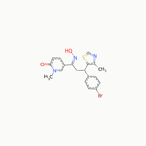 Cc1ncsc1C(CC(=NO)c1ccc(=O)n(C)c1)c1ccc(Br)cc1